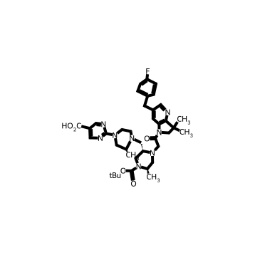 C[C@@H]1CN(c2ncc(C(=O)O)cn2)CCN1C[C@H]1CN(C(=O)OC(C)(C)C)[C@H](C)CN1CC(=O)N1CC(C)(C)c2ncc(Cc3ccc(F)cc3)cc21